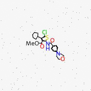 COC(=O)c1c(NC(=O)c2ccc(N3CCOCC3)cc2)sc(Cl)c1C1CCCCC1